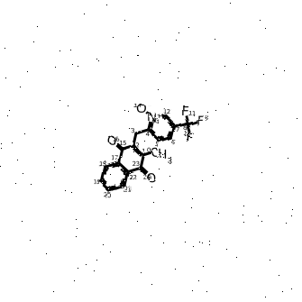 CC1=C(Cc2ccc(C(F)(F)F)c[n+]2[O-])C(=O)c2ccccc2C1=O